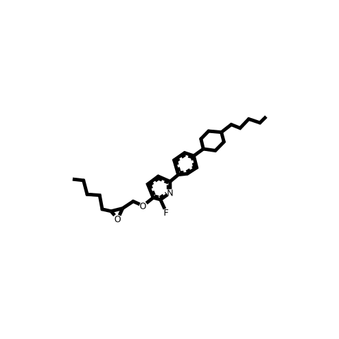 CCCCCC1CCC(c2ccc(-c3ccc(OCC4OC4CCCCC)c(F)n3)cc2)CC1